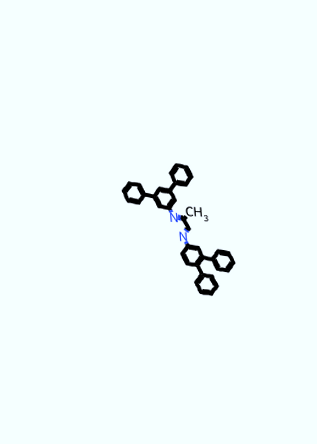 CC(C=Nc1ccc(-c2ccccc2)c(-c2ccccc2)c1)=Nc1cc(-c2ccccc2)cc(-c2ccccc2)c1